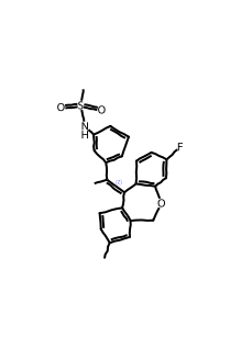 C/C(=C1\c2ccc(C)cc2COc2cc(F)ccc21)c1cccc(NS(C)(=O)=O)c1